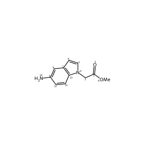 COC(=O)Cn1ccc2cc(N)ccc21